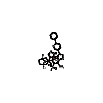 CS(=O)(=O)c1c(C2C[C@H]3CC[C@@H](C2)N3C(=O)c2cn[nH]c2O)nc2c(-c3ccc(-c4ccccc4)nc3)cnn2c1N